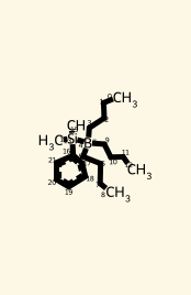 CCCC[B-](CCCC)(CCCC)[Si](C)(C)c1ccccc1